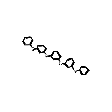 c1ccc(Sc2cccc(Oc3cccc(Sc4cccc(Sc5ccccc5)c4)c3)c2)cc1